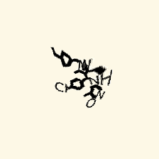 C=Cc1nn(Cc2ccc(CC)cc2)c(C)c1C(Nc1cc(C)c(=O)n(C)c1)c1ccc(Cl)cc1